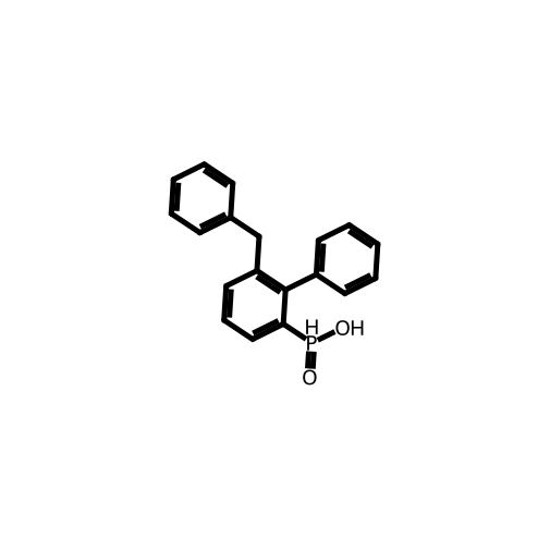 O=[PH](O)c1cccc(Cc2ccccc2)c1-c1ccccc1